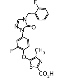 Cc1nc(C(=O)O)sc1Oc1ccc(-n2ncn(Cc3ccccc3F)c2=O)cc1F